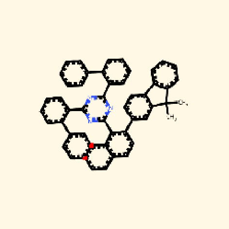 CC1(C)c2ccccc2-c2ccc(-c3ccc4ccccc4c3-c3nc(-c4ccccc4-c4ccccc4)nc(-c4ccccc4-c4ccccc4)n3)cc21